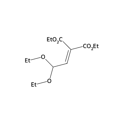 CCOC(=O)C(=CC(OCC)OCC)C(=O)OCC